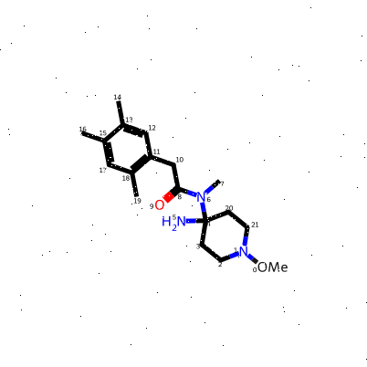 CON1CCC(N)(N(C)C(=O)Cc2cc(C)c(C)cc2C)CC1